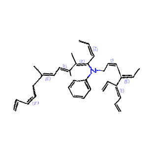 C=C/C=C\C/C(C)=C/C=C(C)/C(C)=C(/C=C\C)N(C\C=C/C(=C\C)C(/C=C)=C/C=C)c1ccccc1